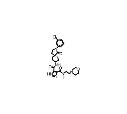 O=C(NCCN1CCOCC1)c1nc[nH]c1C(=O)N[C@H]1CC[C@@]2(CCN(c3cccc(Cl)c3)C2=O)CC1